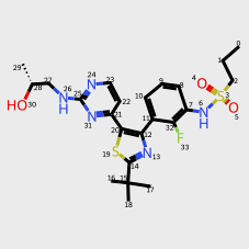 CCCS(=O)(=O)Nc1cccc(-c2nc(C(C)(C)C)sc2-c2ccnc(NC[C@@H](C)O)n2)c1F